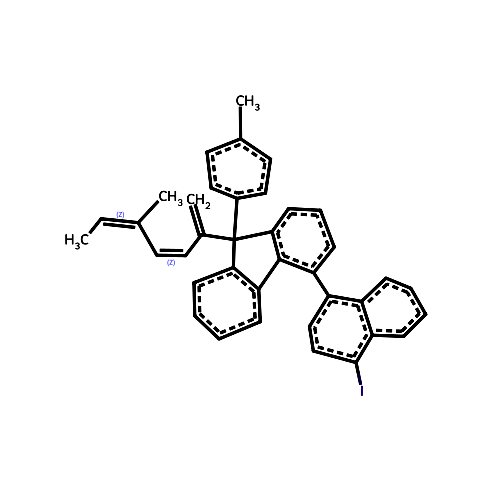 C=C(/C=C\C(C)=C/C)C1(c2ccc(C)cc2)c2ccccc2-c2c(-c3ccc(I)c4ccccc34)cccc21